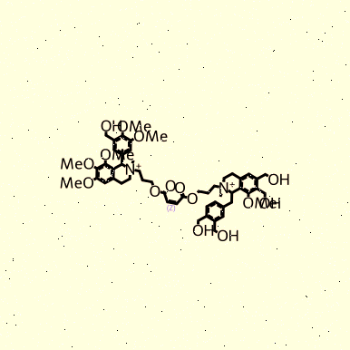 COc1cc(C2c3c(cc(OC)c(OC)c3OC)CC[N+]2(C)CCCOC(=O)/C=C\C(=O)OCCC[N+]2(C)CCc3cc(CO)c(CO)c(OC)c3C2Cc2ccc(CO)c(CO)c2)cc(CO)c1OC